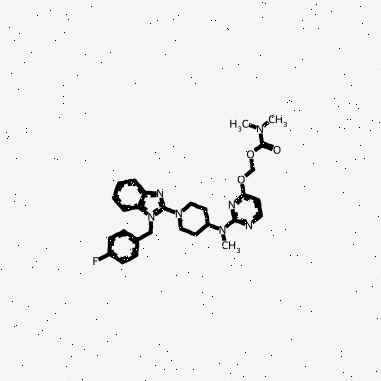 CN(C)C(=O)OCOc1ccnc(N(C)C2CCN(c3nc4ccccc4n3Cc3ccc(F)cc3)CC2)n1